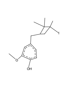 COc1cc(CC2CC(C)(I)C2(C)C)ccc1O